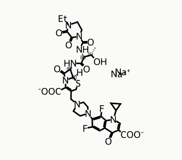 CCN1CCN(C(=O)N[C@@H](C(=O)N[C@@H]2C(=O)N3C(C(=O)[O-])=C(CN4CCN(c5c(F)cc6c(=O)c(C(=O)[O-])cn(C7CC7)c6c5F)CC4)CS[C@H]23)[C@H](C)O)C(=O)C1=O.[Na+].[Na+]